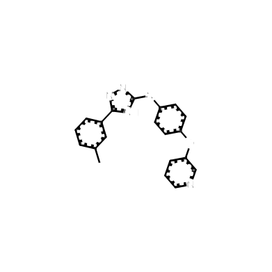 Cc1cccc(-c2nnc(Nc3ccc(Oc4cccnc4)cc3)[nH]2)c1